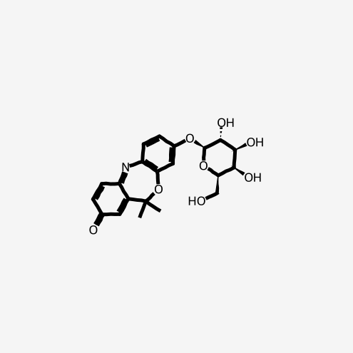 CC1(C)Oc2cc(O[C@@H]3O[C@H](CO)[C@H](O)[C@H](O)[C@H]3O)ccc2N=C2C=CC(=O)C=C21